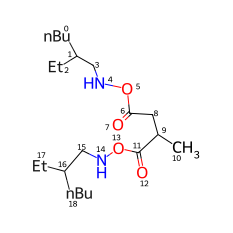 CCCCC(CC)CNOC(=O)CC(C)C(=O)ONCC(CC)CCCC